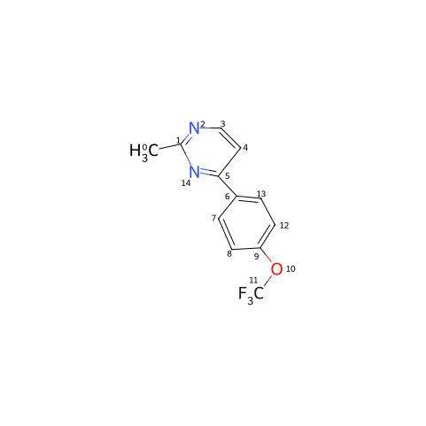 Cc1nccc(-c2ccc(OC(F)(F)F)cc2)n1